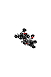 CC[C@H]1O[C@@H](O[C@@H]2[C@H]3OC(=O)C[C@@H]3C[C@H](C)[C@H]2O[C@H]2O[C@@H]3COC(c4ccccc4)O[C@H]3[C@H](OC(=S)n3ccnc3)[C@H]2NC(=O)OCc2ccccc2)[C@H](O[Si](c2ccccc2)(c2ccccc2)C(C)(C)C)[C@@H]1O[C@H]1O[C@H]2CCC(c3ccccc3)O[C@H]2[C@H](O)[C@H]1NC(=O)OCc1ccccc1